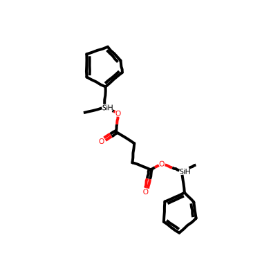 C[SiH](OC(=O)CCC(=O)O[SiH](C)c1ccccc1)c1ccccc1